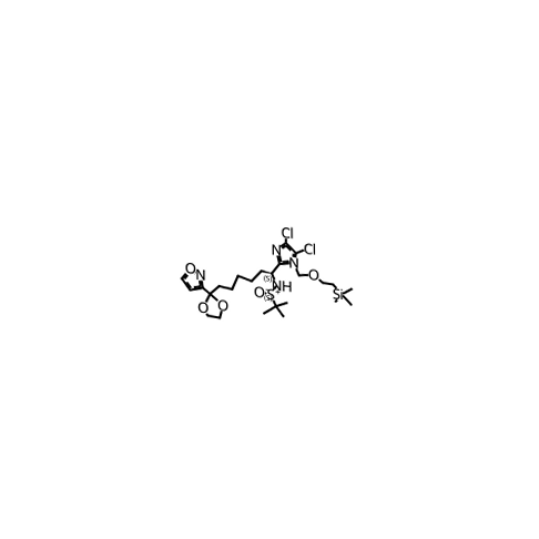 CC(C)(C)[S@@+]([O-])N[C@@H](CCCCCC1(c2ccon2)OCCO1)c1nc(Cl)c(Cl)n1COCC[Si](C)(C)C